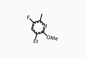 [CH2]Cc1cc(F)c(C)nc1OC